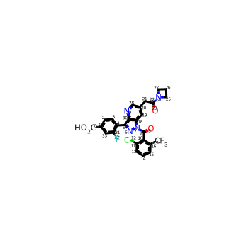 O=C(O)c1ccc(-c2nn(C(=O)c3c(Cl)cccc3C(F)(F)F)c3cc(CC(=O)N4CCC4)cnc23)c(F)c1